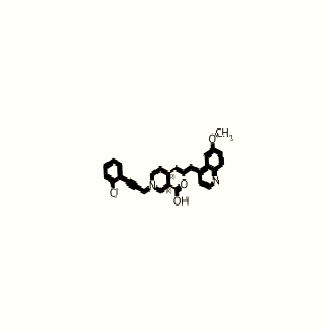 COc1ccc2nccc(CCC[C@@H]3CCN(CC#Cc4ccccc4Cl)C[C@@H]3C(=O)O)c2c1